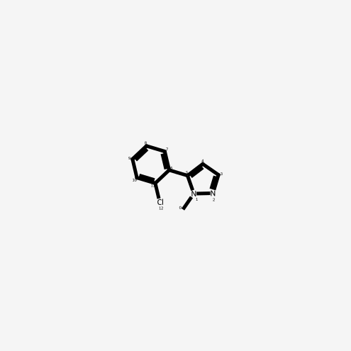 Cn1nccc1-c1ccccc1Cl